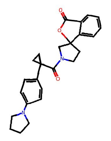 O=C1OC2(CCN(C(=O)C3(c4ccc(N5CCCC5)cc4)CC3)C2)c2ccccc21